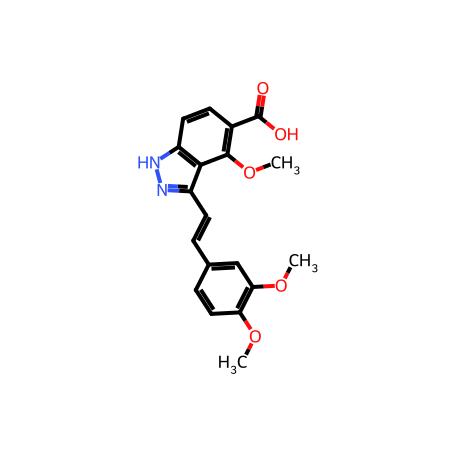 COc1ccc(C=Cc2n[nH]c3ccc(C(=O)O)c(OC)c23)cc1OC